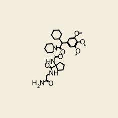 COc1cc(C(C(=O)N2CCCC[C@H]2C(=O)NC2(C(=O)NCC(N)=O)CCCC2)C2CCCCC2)cc(OC)c1OC